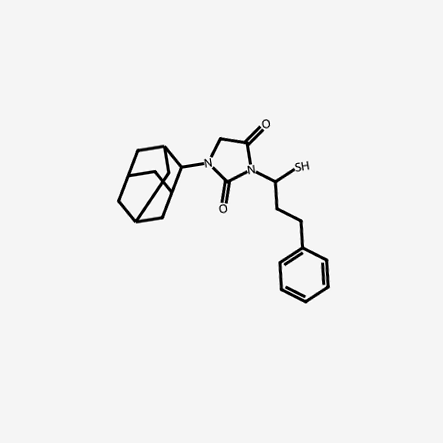 O=C1CN(C2C3CC4CC(C3)CC2C4)C(=O)N1C(S)CCc1ccccc1